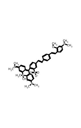 COc1cc(N(C)C)ccc1/C=C/c1ccc(/C=C/c2ccc(C3=C4C=CC(=[N+](C)C)C=C4[Si](C)(C)c4cc(N(C)C)ccc43)c(S(=O)(=O)[O-])c2)cc1